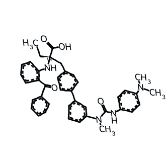 CC[C@@](Cc1ccc(-c2cccc(N(C)C(=O)Nc3ccc(N(C)C)cc3)c2)cc1)(Nc1ccccc1C(=O)c1ccccc1)C(=O)O